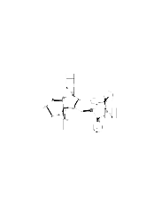 O=C1NC(=O)/C(=C/c2c[nH]c3cccc(F)c23)S1